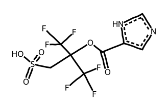 O=C(OC(CS(=O)(=O)O)(C(F)(F)F)C(F)(F)F)c1cnc[nH]1